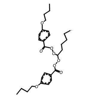 [CH2]CCCC[C](OOC(=O)c1ccc(OCCCC)cc1)OOC(=O)c1ccc(OCCCC)cc1